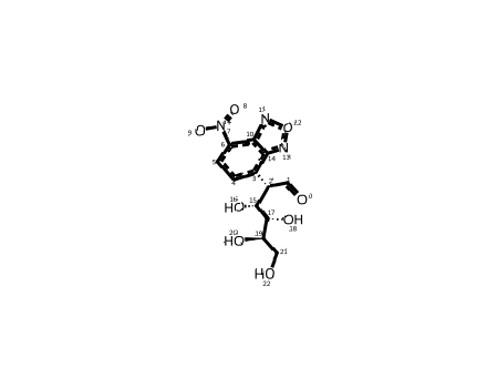 O=C[C@@H](c1ccc([N+](=O)[O-])c2nonc12)[C@@H](O)[C@H](O)[C@H](O)CO